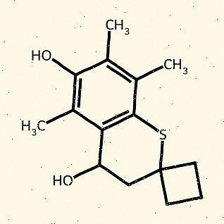 Cc1c(C)c2c(c(C)c1O)C(O)CC1(CCC1)S2